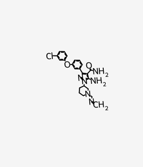 C=NCN1CCCC(n2nc(-c3cccc(Oc4cccc(Cl)c4)c3)c(C(N)=O)c2N)C1